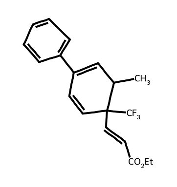 CCOC(=O)/C=C/C1(C(F)(F)F)C=CC(c2ccccc2)=CC1C